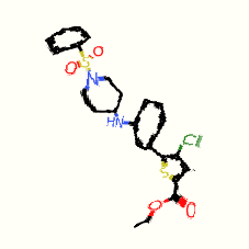 CCOC(=O)c1[c]c(Cl)c(-c2cccc(NC3CCN(S(=O)(=O)c4ccccc4)CC3)c2)s1